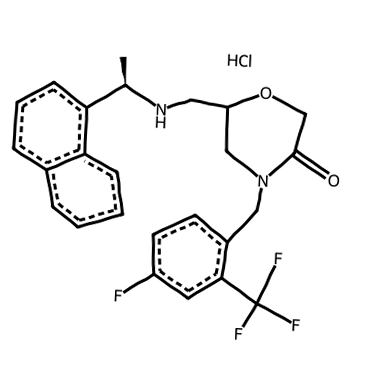 C[C@@H](NCC1CN(Cc2ccc(F)cc2C(F)(F)F)C(=O)CO1)c1cccc2ccccc12.Cl